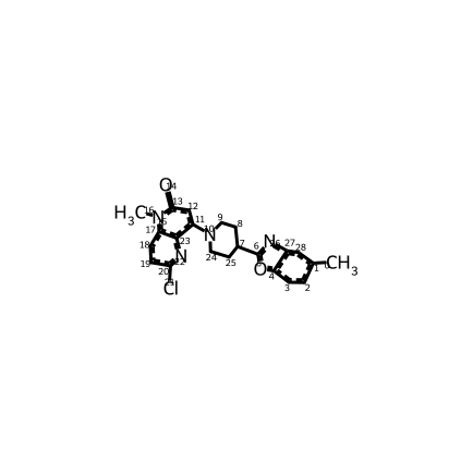 Cc1ccc2oc(C3CCN(c4cc(=O)n(C)c5ccc(Cl)nc45)CC3)nc2c1